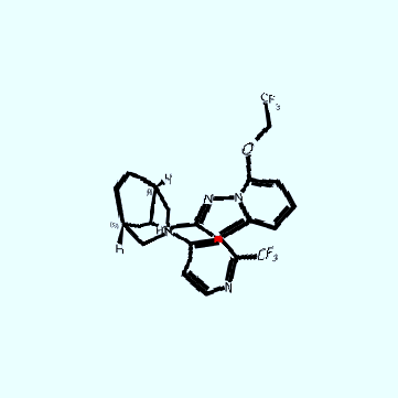 FC(F)(F)COc1cccc2nc(NC3[C@@H]4CC[C@H]3CN(c3ccnc(C(F)(F)F)c3)C4)nn12